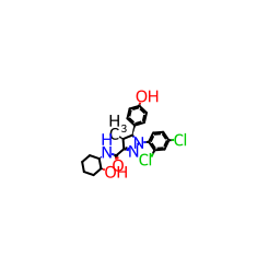 C[C@@H]1C(C(=O)N[C@H]2CCCC[C@@H]2O)=NN(c2ccc(Cl)cc2Cl)[C@@H]1c1ccc(O)cc1